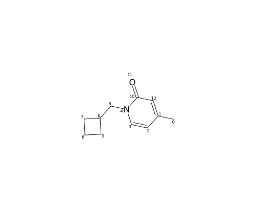 Cc1ccn(CC2CCC2)c(=O)c1